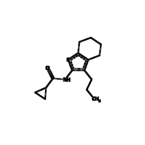 CCCc1c(NC(=O)C2CC2)sc2c1CCCC2